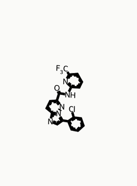 O=C(Nc1cccc(C(F)(F)F)n1)c1ccc2ncc(-c3ccccc3Cl)n2n1